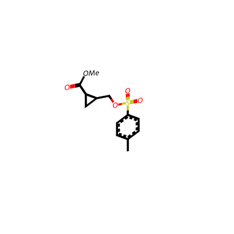 COC(=O)C1CC1COS(=O)(=O)c1ccc(C)cc1